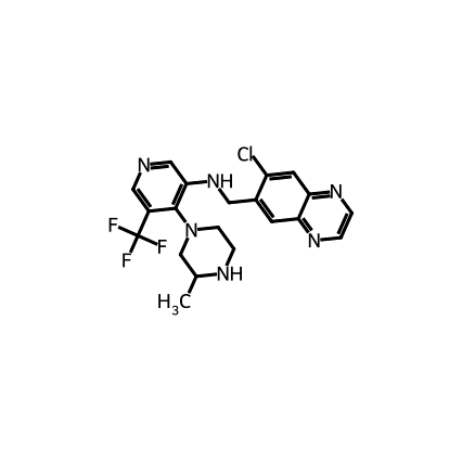 CC1CN(c2c(NCc3cc4nccnc4cc3Cl)cncc2C(F)(F)F)CCN1